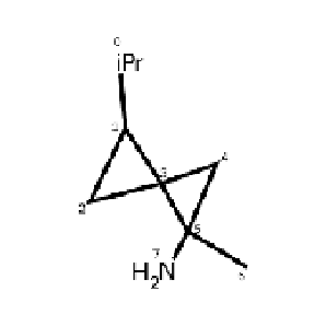 CC(C)C1CC12CC2(C)N